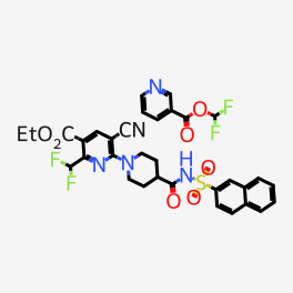 CCOC(=O)c1cc(C#N)c(N2CCC(C(=O)NS(=O)(=O)c3ccc4ccccc4c3)CC2)nc1C(F)F.O=C(OC(F)F)c1cccnc1